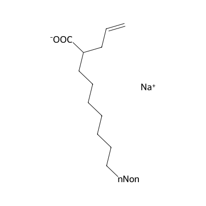 C=CCC(CCCCCCCCCCCCCCCC)C(=O)[O-].[Na+]